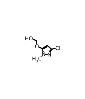 Cn1nc(Cl)cc1OCO